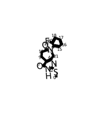 CSc1nc2c(c(=O)[nH]1)CCC(=O)N(c1ccccc1F)C2